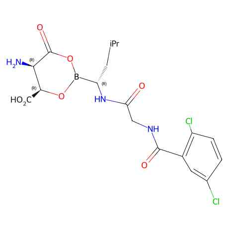 CC(C)C[C@H](NC(=O)CNC(=O)c1cc(Cl)ccc1Cl)B1OC(=O)[C@H](N)[C@H](C(=O)O)O1